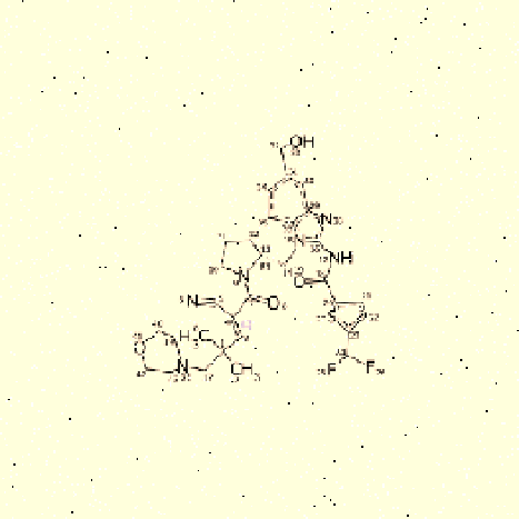 CC(C)(/C=C(\C#N)C(=O)N1CCC[C@@H]1Cn1c(NC(=O)c2ccc(C(F)F)s2)nc2cc(CO)ccc21)CN1CCOCC1